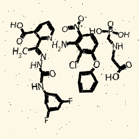 C/C(=N\NC(=O)Nc1cc(F)cc(F)c1)c1ncccc1C(=O)O.Nc1c([N+](=O)[O-])ccc(Oc2ccccc2)c1Cl.O=C(O)CNCP(=O)(O)O